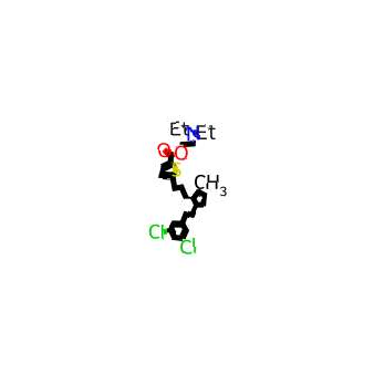 CCN(CC)CCOC(=O)c1ccc(CCC[C@H]2C(C)CCC2CCc2cc(Cl)cc(Cl)c2)s1